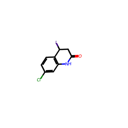 O=C1CC(I)c2ccc(Cl)cc2N1